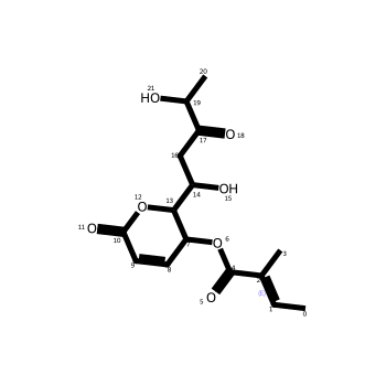 C/C=C(\C)C(=O)OC1C=CC(=O)OC1C(O)CC(=O)C(C)O